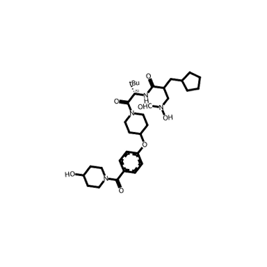 CC(C)(C)[C@H](NC(=O)C(CC1CCCC1)CN(O)C=O)C(=O)N1CCC(Oc2ccc(C(=O)N3CCC(O)CC3)cc2)CC1